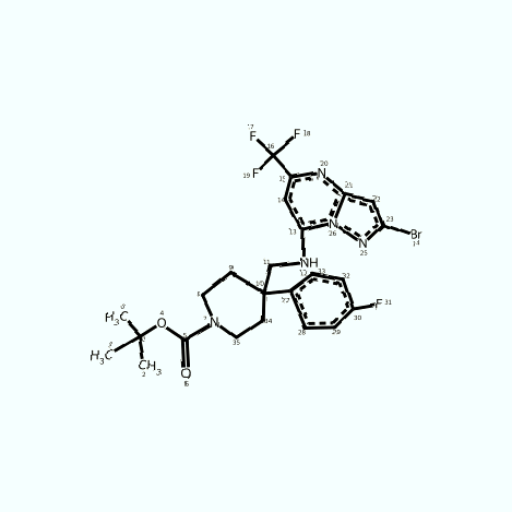 CC(C)(C)OC(=O)N1CCC(CNc2cc(C(F)(F)F)nc3cc(Br)nn23)(c2ccc(F)cc2)CC1